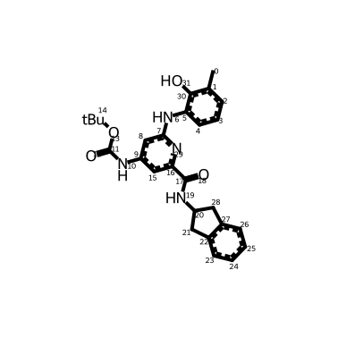 Cc1cccc(Nc2cc(NC(=O)OC(C)(C)C)cc(C(=O)NC3Cc4ccccc4C3)n2)c1O